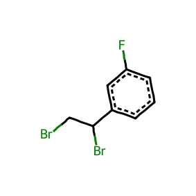 Fc1cccc(C(Br)CBr)c1